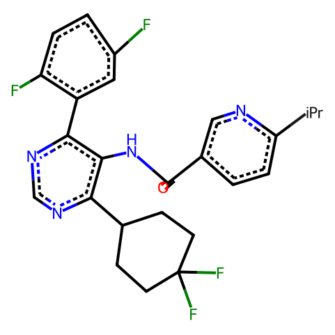 CC(C)c1ccc(C(=O)Nc2c(-c3cc(F)ccc3F)ncnc2C2CCC(F)(F)CC2)cn1